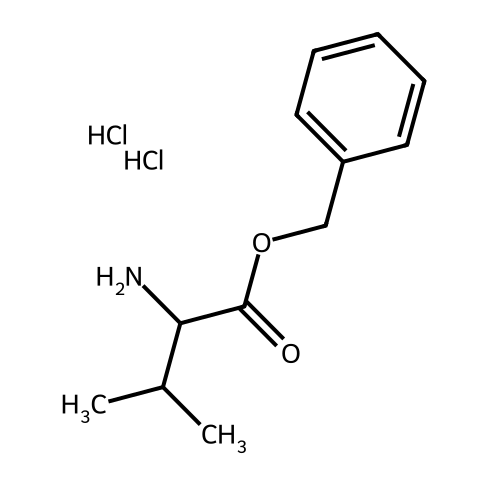 CC(C)C(N)C(=O)OCc1ccccc1.Cl.Cl